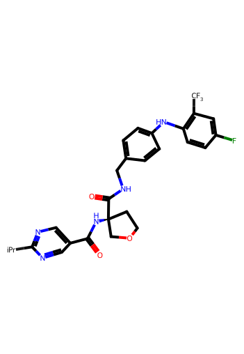 CC(C)c1ncc(C(=O)N[C@@]2(C(=O)NCc3ccc(Nc4ccc(F)cc4C(F)(F)F)cc3)CCOC2)cn1